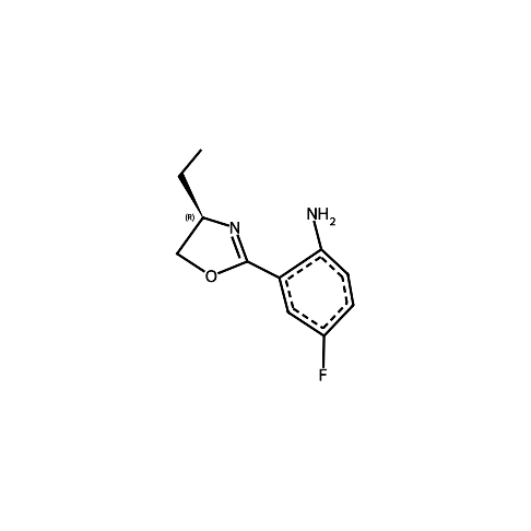 CC[C@@H]1COC(c2cc(F)ccc2N)=N1